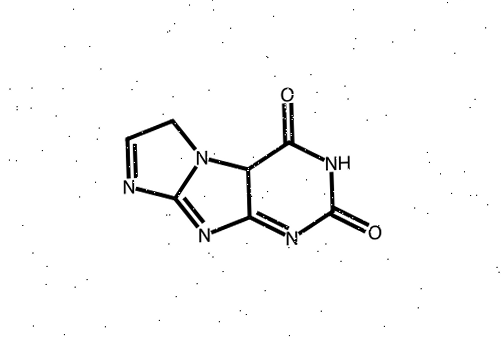 O=C1N=C2N=C3N=CCN3C2C(=O)N1